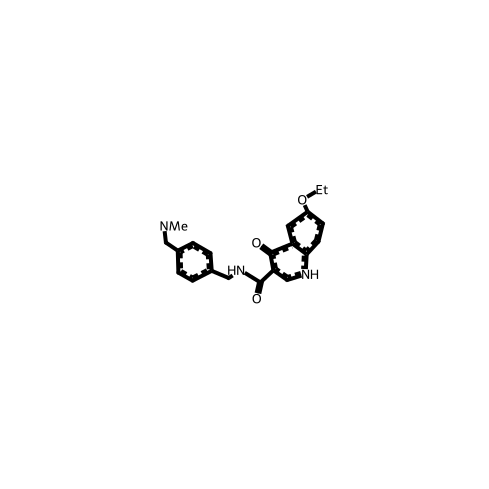 CCOc1ccc2[nH]cc(C(=O)NCc3ccc(CNC)cc3)c(=O)c2c1